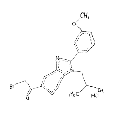 COc1cccc(-c2nc3cc(C(=O)CBr)ccc3n2CC(C)C)c1.Cl